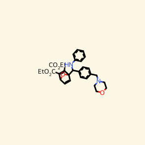 CCOC(=O)C1=C(C(=O)OCC)C2(C(Nc3ccccc3)c3ccc(CN4CCOCC4)cc3)C=CC1O2